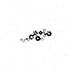 CCOC1C=CC(c2nnc([C@H]3C[C@H](NC(=O)c4ccccn4)C3)n2-c2cccc(Cl)c2)=NC1